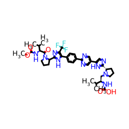 COC(=O)N[C@H](C(=O)N1CCCC1c1nc(C(F)(F)F)c(-c2ccc(-c3ncc(-c4cnc([C@@H]5CCCN5C[C@@H](NC(=O)O)C(C)C)[nH]4)cn3)cc2)[nH]1)C(C)C